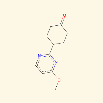 COc1ccnc(C2CCC(=O)CC2)n1